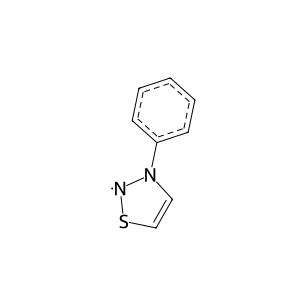 C1=CN(c2ccccc2)[N]S1